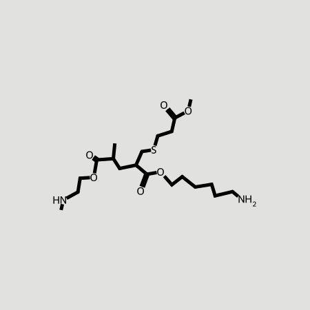 CNCCOC(=O)C(C)CC(CSCCC(=O)OC)C(=O)OCCCCCCN